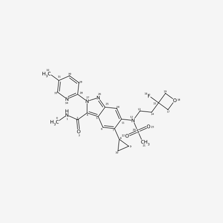 CNC(=O)c1c2cc(C3CC3)c(N(CCC3(F)COC3)S(C)(=O)=O)cc2nn1-c1ccc(C)cn1